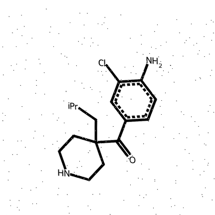 CC(C)CC1(C(=O)c2ccc(N)c(Cl)c2)CCNCC1